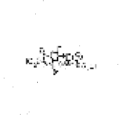 CCOC(=O)C1=NOC2CN(c3c(F)cc4c(=O)c(C(=O)O)cn(C5CC5)c4c3OC)CC12